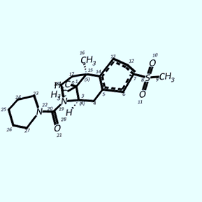 CC1(C)[C@H]2Cc3cc(S(C)(=O)=O)ccc3[C@]1(C)CCN2C(=O)N1CCCCC1